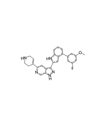 COc1cc(F)cc(-c2cccc3[nH]c(-c4n[nH]c5cnc(C6=CCNCC6)cc45)cc23)c1